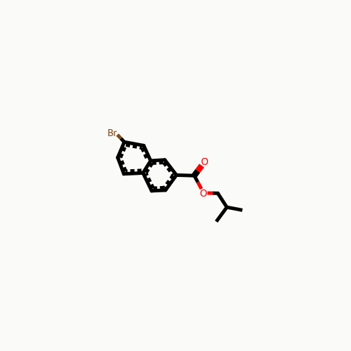 CC(C)COC(=O)c1ccc2ccc(Br)cc2c1